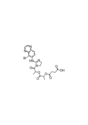 CC(OC(=O)CCC(=O)O)C(=O)OC(C)C(=O)N1CCN=C1Nc1ccc2nccnc2c1Br